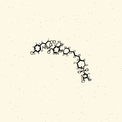 O=C(O)CC(Cc1ccc(Cl)cc1)NS(=O)(=O)c1cnc(N2CCC(CCCC3CCN(S(=O)(=O)c4cc(Br)c(Cl)s4)CC3)CC2)c(Br)c1